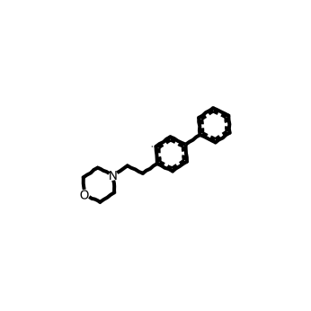 [c]1cc(-c2ccccc2)ccc1CCN1CCOCC1